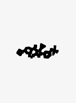 Cc1nn(-c2cccc(OC(F)(F)F)c2)c(C2CC2)c1C(=O)N1CCC(N2CCC2)CC1